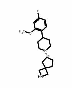 COc1cc(F)ccc1C1CCN([C@@H]2CCC3(CNC3)C2)CC1